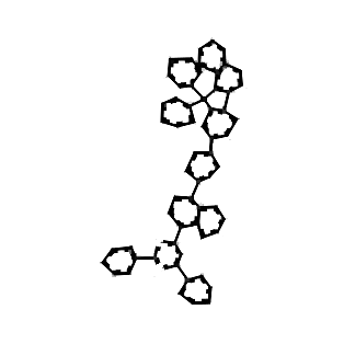 c1ccc(-c2cc(-c3ccc(-c4ccc(-c5ccc6c(c5)C(c5ccccc5)(c5ccccc5)c5c-6ccc6ccccc56)cc4)c4ccccc34)nc(-c3ccccc3)n2)cc1